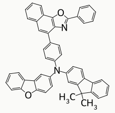 CC1(C)c2ccccc2-c2ccc(N(c3ccc(-c4cc5ccccc5c5oc(-c6ccccc6)nc45)cc3)c3ccc4oc5ccccc5c4c3)cc21